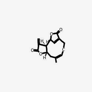 C=C1C(=O)O[C@H]2C/C(C)=C\CCC3=C[C@@H](OC3=O)[C@H]12